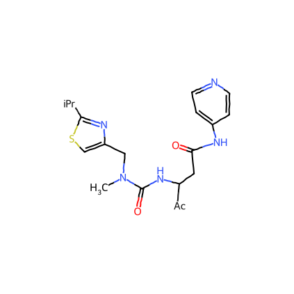 CC(=O)C(CC(=O)Nc1ccncc1)NC(=O)N(C)Cc1csc(C(C)C)n1